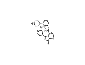 Nc1cc(-c2c[nH]c3ncnc(NCc4cccc(C5CCNCC5)n4)c23)ccn1